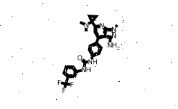 CN(C)C1(c2cc(-c3ccc(NC(=O)Nc4cccc(C(F)(F)F)c4)cc3)c3c(N)nn(C)c3n2)CC1